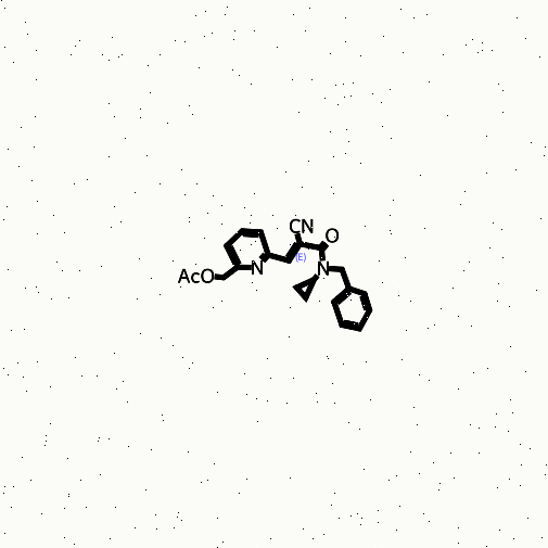 CC(=O)OCc1cccc(/C=C(\C#N)C(=O)N(Cc2ccccc2)C2CC2)n1